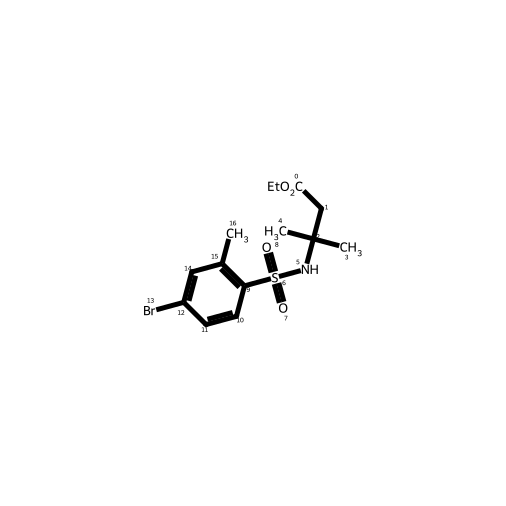 CCOC(=O)CC(C)(C)NS(=O)(=O)c1ccc(Br)cc1C